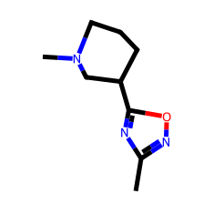 Cc1noc(C2CCCN(C)C2)n1